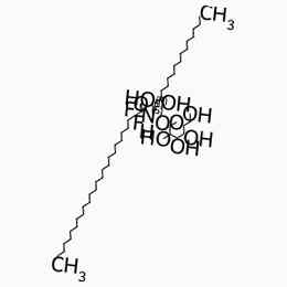 CCCCCCCCCCCCCCCCCCCCCCCCC(F)(F)C(=O)N[C@@H](COC1OC(CO)C(O)C(O)C1O)[C@H](O)[C@H](O)CCCCCCCCCCCCCC